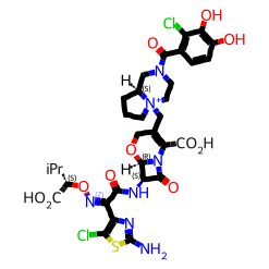 CC(C)[C@H](O/N=C(\C(=O)N[C@@H]1C(=O)N2C(C(=O)O)=C(C[N+]34CCC[C@H]3CN(C(=O)c3ccc(O)c(O)c3Cl)CC4)CO[C@H]12)c1nc(N)sc1Cl)C(=O)O